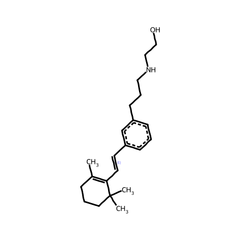 CC1=C(/C=C/c2cccc(CCCNCCO)c2)C(C)(C)CCC1